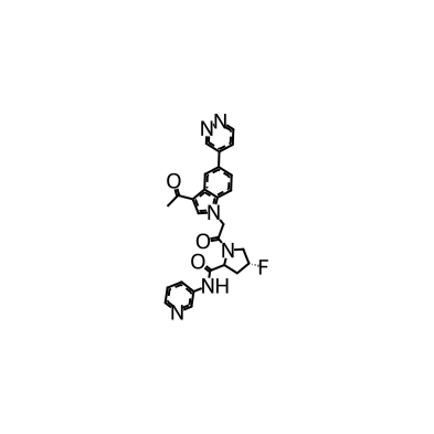 CC(=O)c1cn(CC(=O)N2C[C@H](F)CC2C(=O)Nc2cccnc2)c2ccc(-c3ccnnc3)cc12